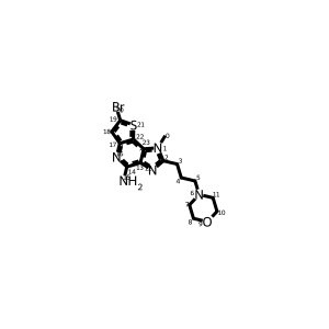 Cn1c(CCCN2CCOCC2)nc2c(N)nc3cc(Br)sc3c21